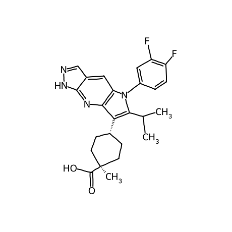 CC(C)c1c([C@H]2CC[C@](C)(C(=O)O)CC2)c2nc3[nH]ncc3cc2n1-c1ccc(F)c(F)c1